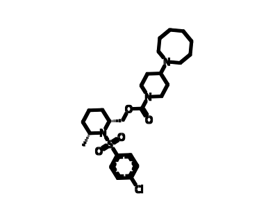 C[C@@H]1CCC[C@H](COC(=O)N2CCC(N3CCCCCCC3)CC2)N1S(=O)(=O)c1ccc(Cl)cc1